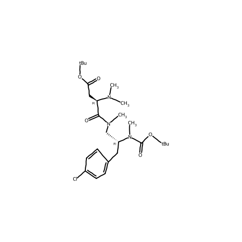 CN(C[C@@H](Cc1ccc(Cl)cc1)N(C)C(=O)OC(C)(C)C)C(=O)[C@@H](CC(=O)OC(C)(C)C)N(C)C